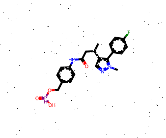 CC(CC(=O)Nc1ccc(CO[PH](=O)O)cc1)c1cnn(C)c1-c1ccc(F)cc1